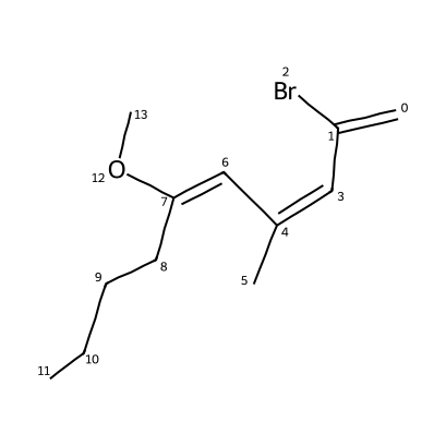 C=C(Br)/C=C(C)\C=C(/CCCC)OC